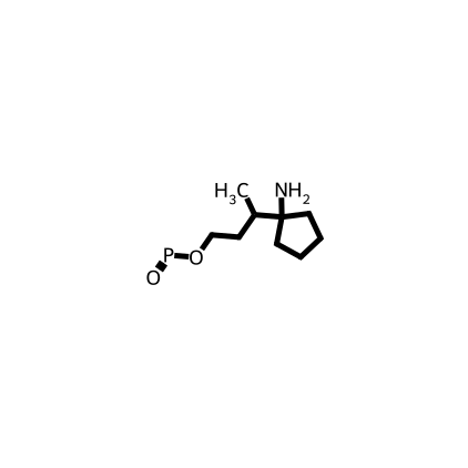 CC(CCOP=O)C1(N)CCCC1